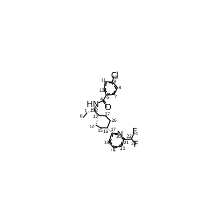 CC[C@H](NC(=O)c1ccc(Cl)cc1)[C@H]1CC[C@@H](c2cccc(C(F)F)n2)CC1